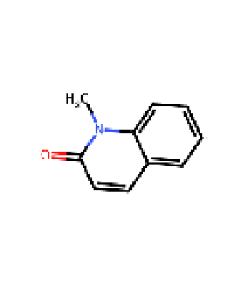 Cn1c(=O)ccc2c[c]ccc21